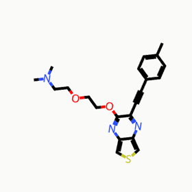 Cc1ccc(C#Cc2nc3cscc3nc2OCCOCCN(C)C)cc1